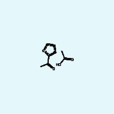 CC(=O)O.CC(=O)c1ccco1